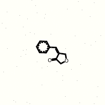 O=C1COCC1=Cc1ccccc1